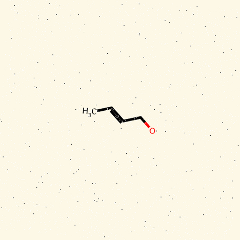 CC=CC[O]